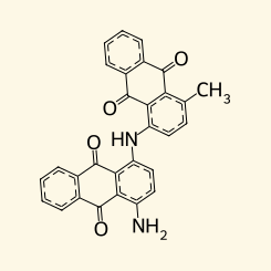 Cc1ccc(Nc2ccc(N)c3c2C(=O)c2ccccc2C3=O)c2c1C(=O)c1ccccc1C2=O